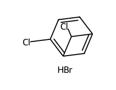 Br.Clc1ccc2cc1C2Cl